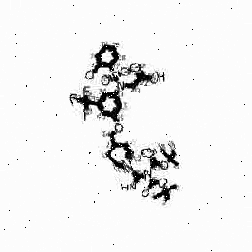 CC(C)(C)OC(=O)N(C(=N)N1CCC(COc2cc(N(CC(=O)O)S(=O)(=O)c3ccccc3Cl)cc(C(F)(F)F)c2)CC1)C(=O)OC(C)(C)C